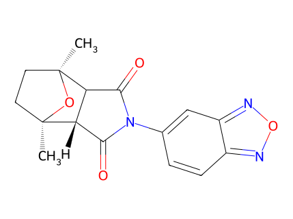 C[C@]12CC[C@](C)(O1)C1C(=O)N(c3ccc4nonc4c3)C(=O)[C@@H]12